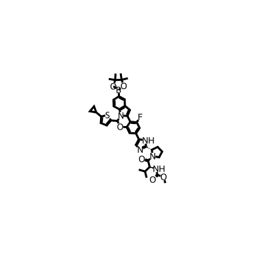 COC(=O)N[C@H](C(=O)N1CCC[C@H]1c1ncc(-c2cc(F)c3c(c2)OC(c2ccc(C4CC4)s2)n2c-3cc3cc(B4OC(C)(C)C(C)(C)O4)ccc32)[nH]1)C(C)C